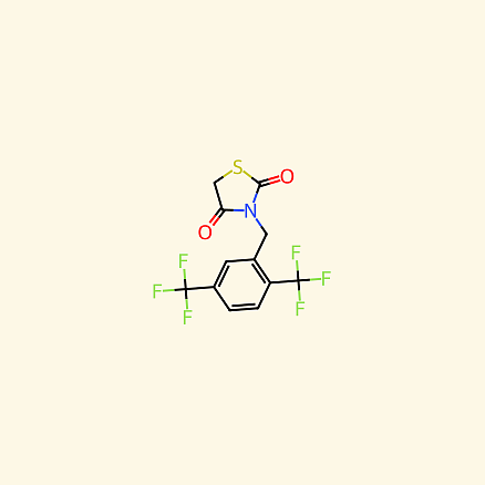 O=C1CSC(=O)N1Cc1cc(C(F)(F)F)ccc1C(F)(F)F